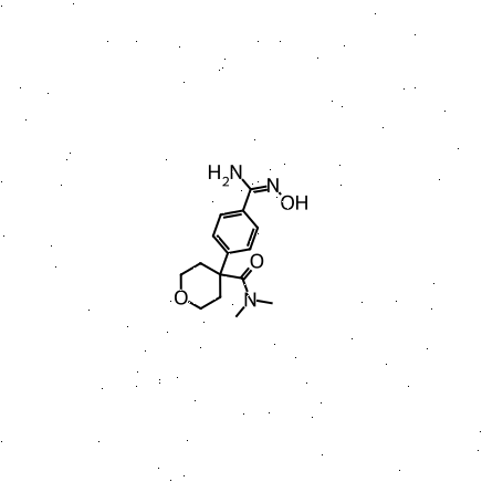 CN(C)C(=O)C1(c2ccc(/C(N)=N\O)cc2)CCOCC1